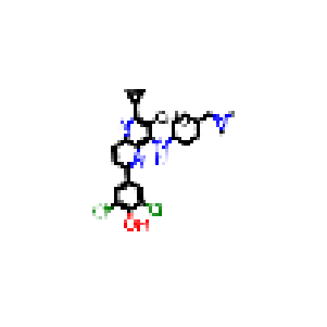 CN(C)CC1CCC(Nc2c(C=O)c(C3CC3)nc3ccc(-c4cc(Cl)c(O)c(Cl)c4)nc23)CC1